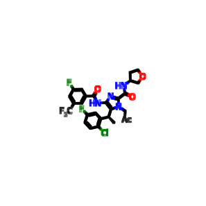 CC(=O)Cn1c(C(=O)N[C@H]2CCOC2)nc(NC(=O)c2cc(F)cc(C(F)(F)F)c2)c1[C@@H](C)c1cc(F)ccc1Cl